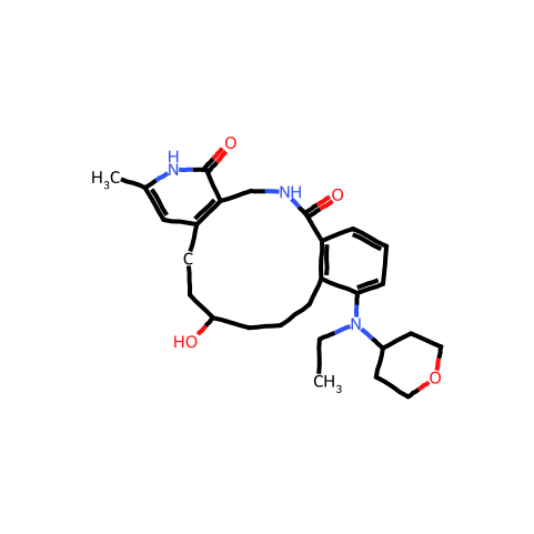 CCN(c1cccc2c1CCCC(O)CCc1cc(C)[nH]c(=O)c1CNC2=O)C1CCOCC1